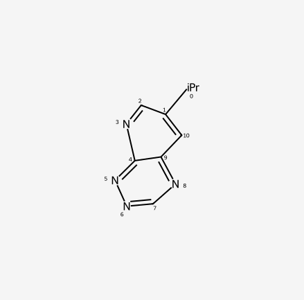 CC(C)c1cnc2nncnc2c1